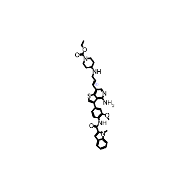 CCOC(=O)N1CCC(NC/C=C/c2cnc(N)c3c(-c4ccc(NC(=O)c5cc6ccccc6n5C)c(OC)c4)csc23)CC1